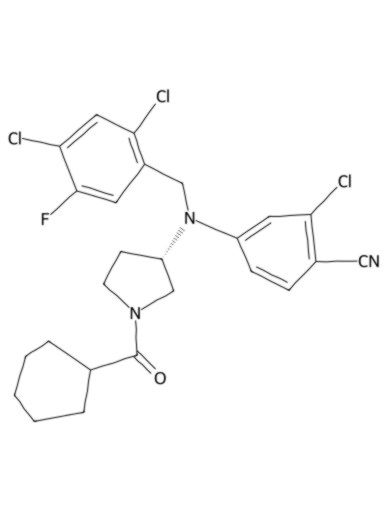 N#Cc1ccc(N(Cc2cc(F)c(Cl)cc2Cl)[C@H]2CCN(C(=O)C3CCCCC3)C2)cc1Cl